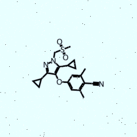 Cc1cc(Oc2c(C3CC3)nn(CS(C)(=O)=O)c2C2CC2)cc(C)c1C#N